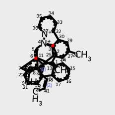 C=C1CC[N+]23c4c(cc(C)cc4C4(c5ccccc5-c5ccccc54)c4cc(C)cc(c42)-c2cccc[n+]23)/C1=C/C=C\C